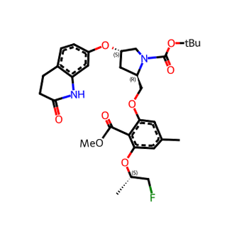 COC(=O)c1c(OC[C@H]2C[C@H](Oc3ccc4c(c3)NC(=O)CC4)CN2C(=O)OC(C)(C)C)cc(C)cc1O[C@@H](C)CF